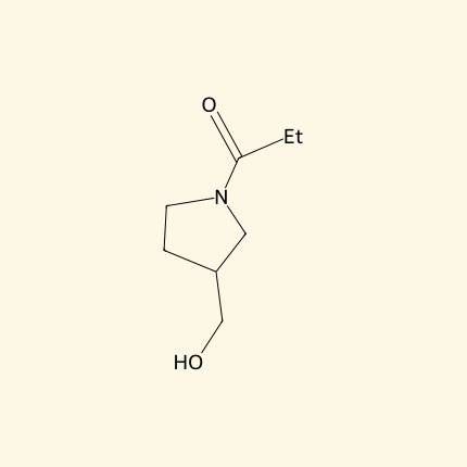 CCC(=O)N1CCC(CO)C1